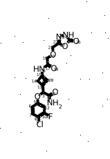 NC(=O)C(Oc1ccc(Cl)c(F)c1)C12CC(NC(=O)COCc3n[nH]c(=O)o3)(C1)C2